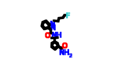 CC(C)(NC(=O)c1nn(CCCCCF)c2ccccc12)c1cccc(C(N)=O)c1